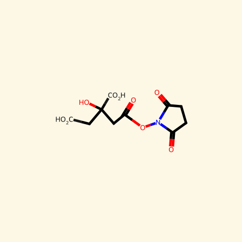 O=C(O)CC(O)(CC(=O)ON1C(=O)CCC1=O)C(=O)O